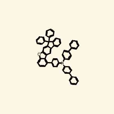 c1ccc(-c2ccc(N(c3ccc(-c4ccccc4)cc3)c3ccc(-c4cccc5oc6cc7c(cc6c45)-c4ccccc4C7(c4ccccc4)c4ccccc4)cc3)cc2)cc1